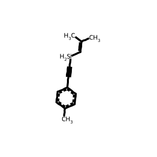 CC(C)=C[SiH2]C#Cc1ccc(C)cc1